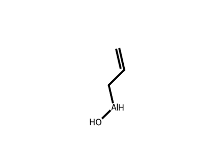 C=C[CH2][AlH][OH]